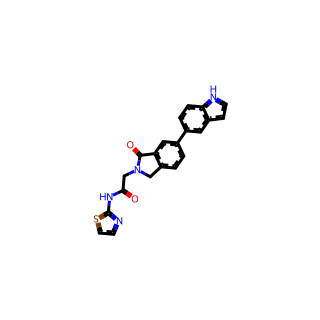 O=C(CN1Cc2ccc(-c3ccc4[nH]ccc4c3)cc2C1=O)Nc1nccs1